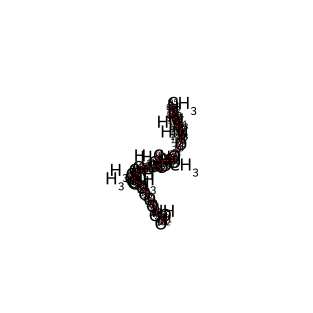 C=C1C[C@@H](C2OCCN2C(=O)OCc2ccc(NC(=O)[C@H](C)NC(=O)[C@@H](NC(=O)CCOCCOCCOCCOCCNC(=O)CCN3C(=O)C=CC3=O)C(C)C)cc2)N(C(=O)c2cc(OC)c(OCCCCCOc3ccc(-c4nc5ccc(-c6nc7cc(N8CCN(C)CC8)ccc7[nH]6)cc5[nH]4)cc3)cc2N)C1